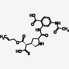 C=CCOC(=O)[C@@H](C(O)=S)[C@H]1CNC(C(=O)Nc2cc(NC(C)=O)ccc2C(=O)O)C1